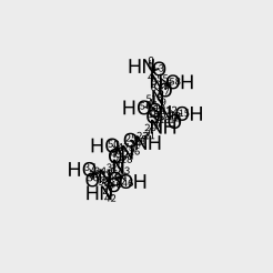 CNC(=O)CN(CCN(CCN(CC(=O)O)CC(=O)NCCCNC(=O)CN(CCN(CCN(CC(=O)O)CC(=O)NC)CC(=O)O)CC(=O)O)CC(=O)O)CC(=O)O